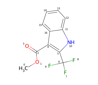 COC(=O)c1c(C(F)(F)F)[nH]c2ccccc12